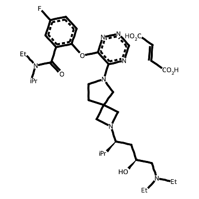 CCN(CC)C[C@@H](O)C[C@@H](C(C)C)N1CC2(CCN(c3ncnnc3Oc3ccc(F)cc3C(=O)N(CC)C(C)C)C2)C1.O=C(O)/C=C/C(=O)O